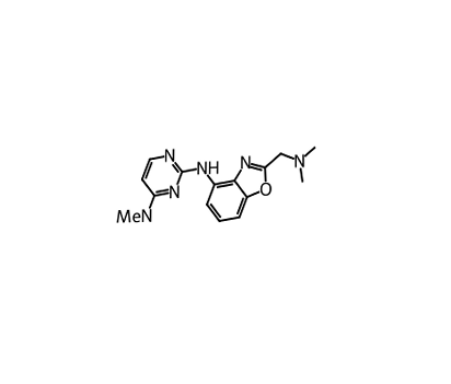 CNc1ccnc(Nc2cccc3oc(CN(C)C)nc23)n1